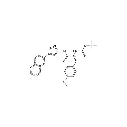 COc1ccc(C[C@H](NC(=O)OC(C)(C)C)C(=O)Nc2cn(-c3ccc4cnccc4c3)cn2)cc1